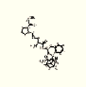 CC(C)(C)OC(=O)N1CCC[C@@H]1COC[C@H](N)C(=O)N[C@@H](Cc1ccccc1)B1O[C@@H]2C[C@H]3C[C@@H](C3(C)C)[C@]2(C)O1